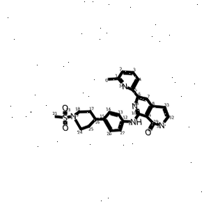 Cc1cccc(-c2cc3c(c(Nc4ccc(C5CCN(S(C)(=O)=O)CC5)cc4)n2)C(=O)[N]C=C3)n1